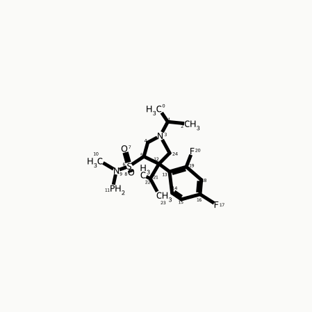 CC(C)N1CC(S(=O)(=O)N(C)P)C(c2ccc(F)cc2F)(C(C)C)C1